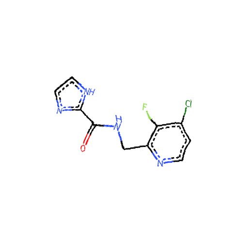 O=C(NCc1nccc(Cl)c1F)c1ncc[nH]1